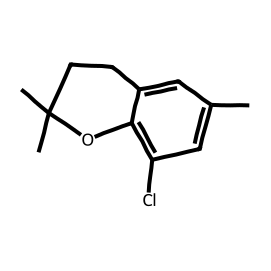 Cc1cc(Cl)c2c(c1)CCC(C)(C)O2